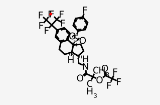 CC(C)(OC(=O)C(F)(F)F)C(=O)NC[C@@H]1CC[C@@]2(S(=O)(=O)c3ccc(F)cc3)c3ccc(C(F)(C(F)(F)F)C(F)(F)F)cc3CC[C@@H]12